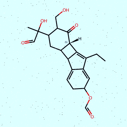 CCC1=C2C(C3=CCC(OC=O)C=C31)C1CC(C(C)(O)C=O)C(CO)C(=O)[C@H]21